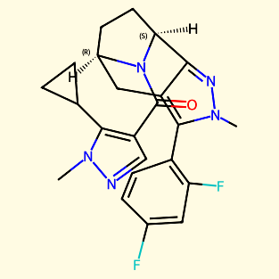 Cn1nc2c(c1-c1ccc(F)cc1F)C[C@H]1CC[C@@H]2N1C(=O)c1cnn(C)c1C1CC1